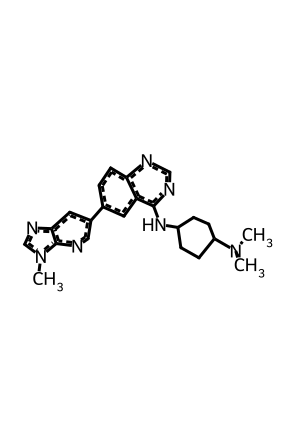 CN(C)C1CCC(Nc2ncnc3ccc(-c4cnc5c(c4)ncn5C)cc23)CC1